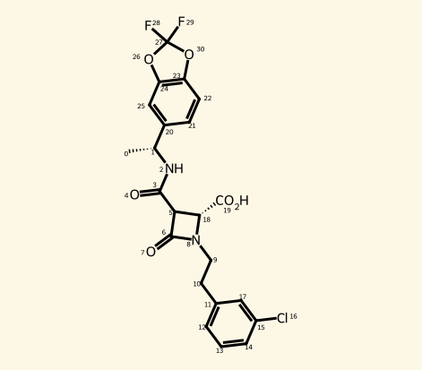 C[C@@H](NC(=O)C1C(=O)N(CCc2cccc(Cl)c2)[C@H]1C(=O)O)c1ccc2c(c1)OC(F)(F)O2